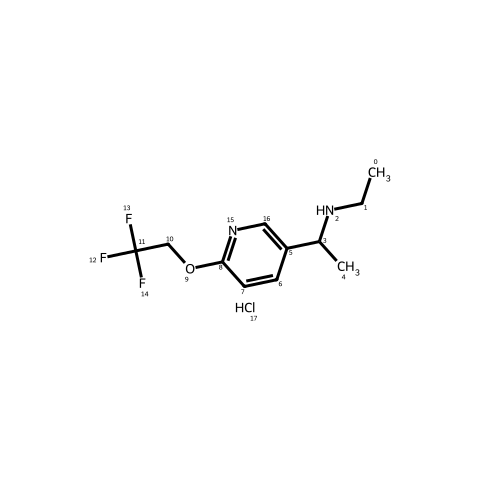 CCNC(C)c1ccc(OCC(F)(F)F)nc1.Cl